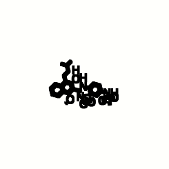 COc1c(C2=NS(=O)(=O)c3cc(NS(C)(=O)=O)ccc3N2)c(O)c(CCC(C)C)c2ccccc12